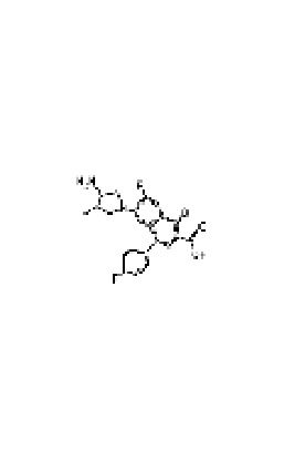 CC1CN(c2cc3c(cc2F)c(=O)c(C(=O)O)cn3-c2ccc(F)cc2)CC1N